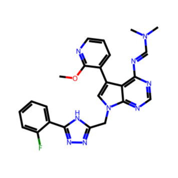 COc1ncccc1-c1cn(Cc2nnc(-c3ccccc3F)[nH]2)c2ncnc(N=CN(C)C)c12